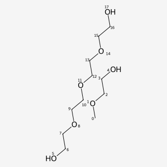 COCCO.OCCOCCOCCOCCO